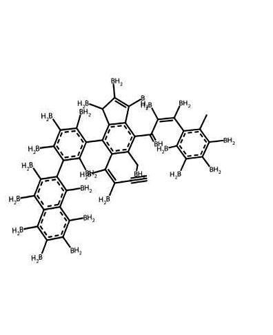 B=C(/C(B)=C(/B)c1c(B)c(B)c(B)c(B)c1C)c1c(CB)c(/C(B)=C(/B)C#C)c(-c2c(B)c(B)c(B)c(-c3c(B)c(B)c4c(B)c(B)c(B)c(B)c4c3B)c2B)c2c1C(B)=C(B)C2B